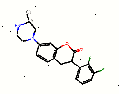 C[C@H]1CN(c2ccc3c(c2)OC(=O)C(c2cccc(F)c2F)C3)CCN1